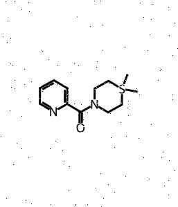 CS1(C)CCN(C(=O)c2ccccn2)CC1